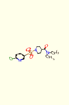 CN(C)C(=O)C1CCN(S(=O)(=O)c2ccc(Cl)nc2)CC1